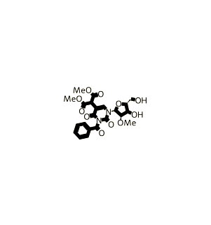 COC(=O)C(C(=O)OC)c1cn([C@@H]2O[C@H](CO)C(O)[C@@H]2OC)c(=O)n(C(=O)c2ccccc2)c1=O